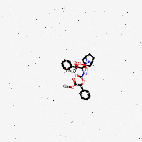 COC(=O)[C@@H](NC(=O)OC(C(=O)OC(C)(C)C)c1ccccc1)C1CC2CCC(C1)N2C(=O)OCc1ccccc1